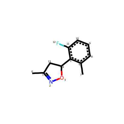 CC1=NOC(c2c(C)cccc2F)C1